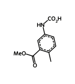 COC(=O)c1cc(NC(=O)O)ccc1C